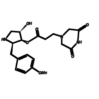 COc1ccc(C[C@H]2NC[C@H](O)[C@H]2OC(=O)CCN2CC(=O)NC(=O)C2)cc1